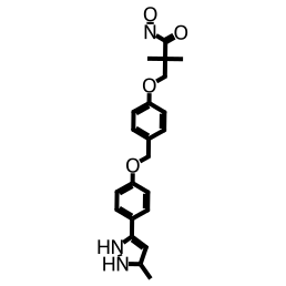 CC1C=C(c2ccc(OCc3ccc(OCC(C)(C)C(=O)N=O)cc3)cc2)NN1